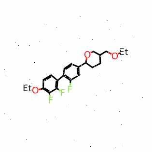 CCOCC1CCC(c2ccc(-c3ccc(OCC)c(F)c3F)c(F)c2)OC1